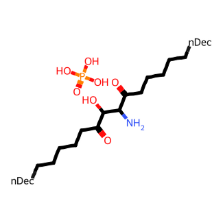 CCCCCCCCCCCCCCCC(=O)C(N)C(O)C(=O)CCCCCCCCCCCCCCC.O=P(O)(O)O